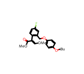 CCC(C)Oc1ccc(OCc2cc(F)ccc2/C(=C\OC)C(=O)OC)cc1